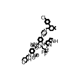 CC1(C)CCC(CN2CCN(c3ccc(C(=O)NS(=O)(=O)c4ccc(NCC5CCOCC5)c([N+](=O)[O-])c4)c(N4CCC(C(F)(F)F)Sc5nc6[nH]ccc6cc54)c3)CC2)=C(c2ccc(Cl)cc2)C1